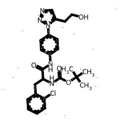 CC(C)(C)OC(=O)NC(Cc1ccccc1Cl)C(=O)Nc1ccc(-n2nncc2CCO)cc1